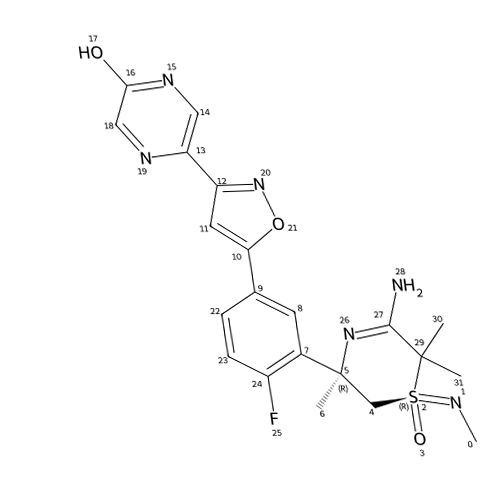 CN=[S@@]1(=O)C[C@@](C)(c2cc(-c3cc(-c4cnc(O)cn4)no3)ccc2F)N=C(N)C1(C)C